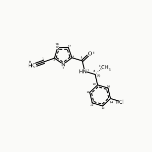 C#Cc1nc(C(=O)N[C@H](C)c2cccc(Cl)c2)cs1